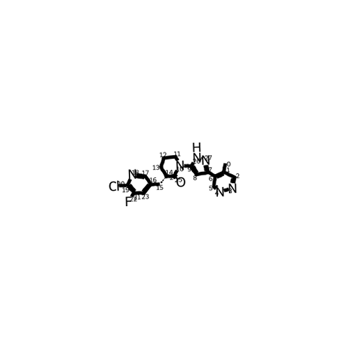 Cc1cnncc1-c1cc(N2CCC[C@@H](Cc3cnc(Cl)c(F)c3)C2=O)[nH]n1